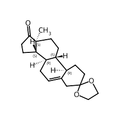 C[C@]12CC[C@H]3[C@@H](CC=C4CC5(CC[C@@H]43)OCCO5)[C@@H]1CCC2=O